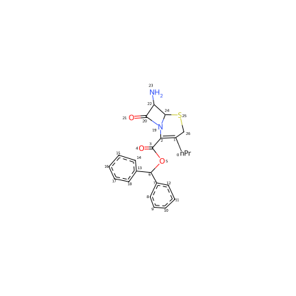 CCCC1=C(C(=O)OC(c2ccccc2)c2ccccc2)N2C(=O)C(N)C2SC1